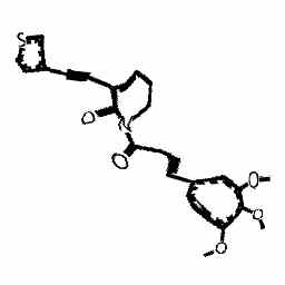 COc1cc(C=CC(=O)N2CCC=C(C#Cc3ccsc3)C2=O)cc(OC)c1OC